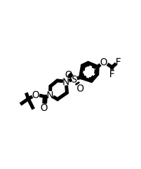 CC(C)(C)OC(=O)N1CCN(S(=O)(=O)c2ccc(OC(F)F)cc2)CC1